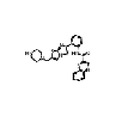 O=C(Nc1ccccc1C1CN2C=C(CN3CCNCC3)SC2=N1)c1cnc2ccccc2n1